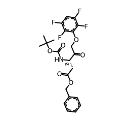 CC(C)(C)OC(=O)N[C@@H](CC(=O)OCc1ccccc1)C(=O)COc1c(F)c(F)cc(F)c1F